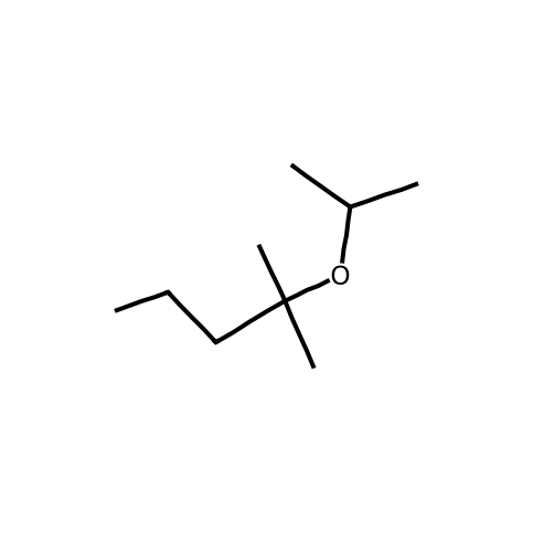 CCCC(C)(C)OC(C)C